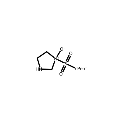 CCCCCS(=O)(=O)[N+]1([O-])CCNC1